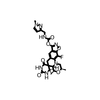 C[C@@H]1CN2c3c(cc4c(OC(=O)NCc5ccn(C)n5)noc4c3F)CC3(C(=O)NC(=O)NC3=O)[C@H]2[C@H](C)O1